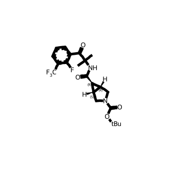 CC(C)(C)OC(=O)N1C[C@@H]2[C@H](C1)[C@H]2C(=O)NC(C)(C)C(=O)c1cccc(C(F)(F)F)c1F